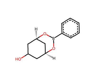 OC1C[C@@H]2C[C@H](C1)OB(c1ccccc1)O2